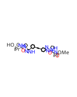 COC(=O)N[C@@H](C(=O)N1CCC[C@H]1c1nc2cc(C#Cc3cccc(-c4[nH]cnc4[C@@H]4CCCN4C(=O)[C@@H](NC(=O)O)C(C)C)c3)ccc2[nH]1)C(C)C